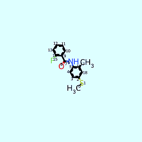 CSc1ccc(NC(=O)c2ccccc2F)c(C)c1